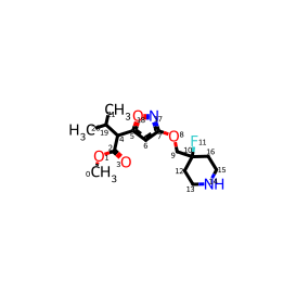 COC(=O)C(c1cc(OCC2(F)CCNCC2)no1)C(C)C